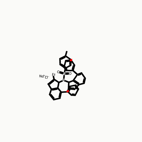 CCC1=Cc2cccc(-c3ccccc3)c2C1N(C1C(CC)=Cc2cccc(-c3ccccc3)c21)S(=O)(=O)c1ccc(C)cc1.[Cl-].[Nd+]